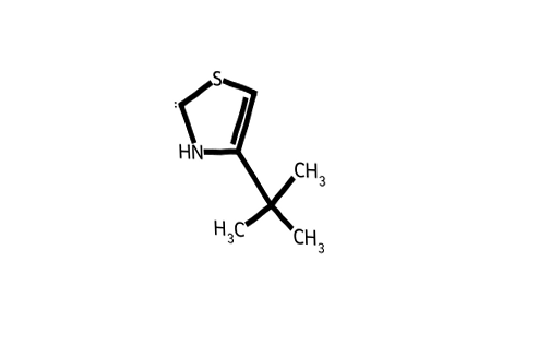 CC(C)(C)C1=CS[C]N1